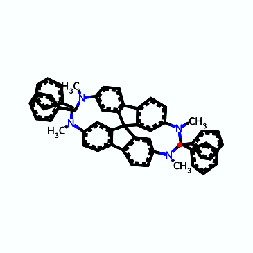 CN(Cc1ccccc1)c1ccc2c(c1)C1(c3cc(N(C)Cc4ccccc4)ccc3-2)c2cc(N(C)Cc3ccccc3)ccc2-c2ccc(N(C)Cc3ccccc3)cc21